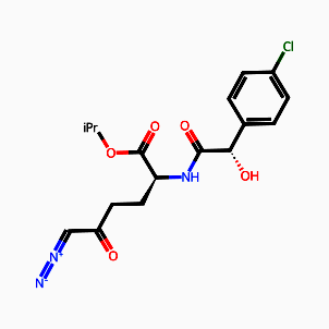 CC(C)OC(=O)[C@H](CCC(=O)C=[N+]=[N-])NC(=O)[C@@H](O)c1ccc(Cl)cc1